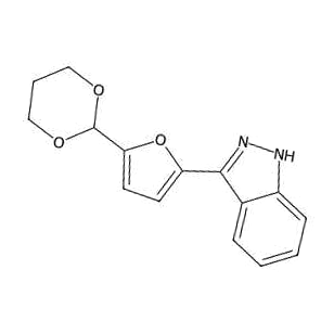 c1ccc2c(-c3ccc(C4OCCCO4)o3)n[nH]c2c1